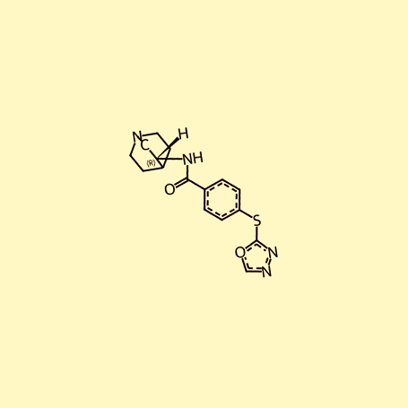 O=C(N[C@H]1CN2CCC1CC2)c1ccc(Sc2nnco2)cc1